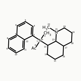 CC(=O)[N+](C)(c1cccc2ccccc12)C1CCCC2CCCN(C)C21